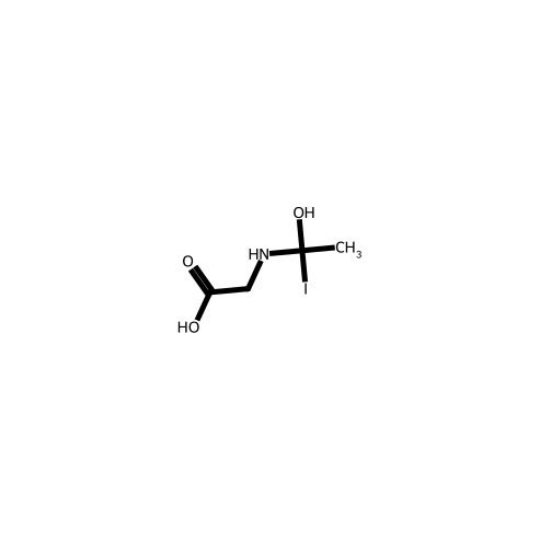 CC(O)(I)NCC(=O)O